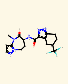 CN1C(=O)[C@@H](NC(=O)c2n[nH]c3c2CC(C(F)(F)F)CC3)CCn2nccc21